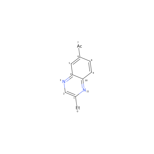 CCc1cnc2cc(C(C)=O)ccc2n1